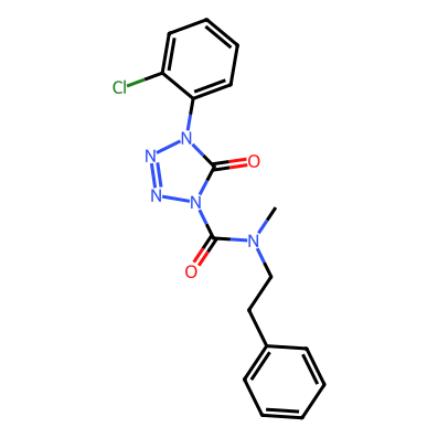 CN(CCc1ccccc1)C(=O)n1nnn(-c2ccccc2Cl)c1=O